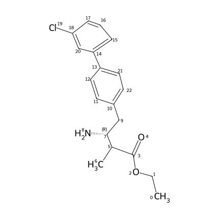 CCOC(=O)C(C)[C@H](N)Cc1ccc(-c2cccc(Cl)c2)cc1